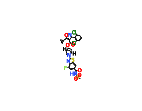 CS(=O)(=O)NC(=O)c1cc(F)c2nc(N3C[C@@H]4C[C@H]3C[C@H]4OC(=O)c3c(-c4c(Cl)cccc4Cl)noc3C3CC3)sc2c1